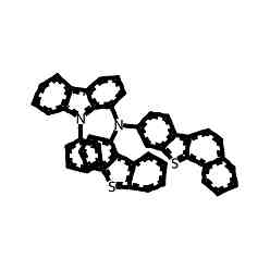 c1ccc(-n2c3ccccc3c3cccc(N(c4ccc5c(c4)sc4c6ccccc6ccc54)c4cccc5sc6ccccc6c45)c32)cc1